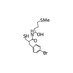 CSCCCC(O)NC(=O)C(CS)Cc1ccc(Br)cc1